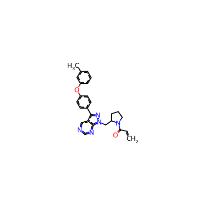 C=CC(=O)N1CCCC1Cn1nc(-c2ccc(Oc3cccc(C)c3)cc2)c2cncnc21